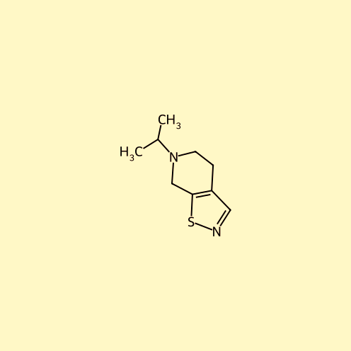 CC(C)N1CCc2cnsc2C1